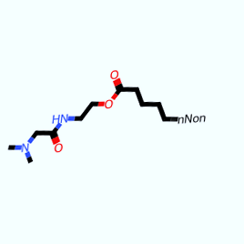 CCCCCCCCCCCCCC(=O)OCCNC(=O)CN(C)C